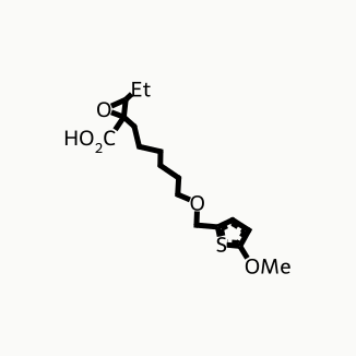 CCC1OC1(CCCCCCOCc1ccc(OC)s1)C(=O)O